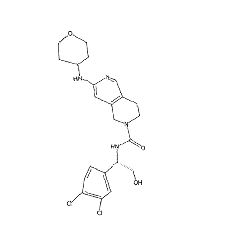 O=C(N[C@H](CO)c1ccc(Cl)c(Cl)c1)N1CCc2cnc(NC3CCOCC3)cc2C1